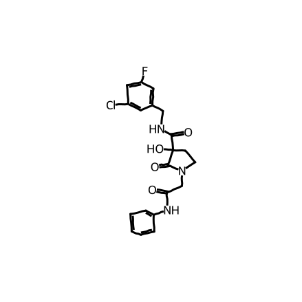 O=C(CN1CCC(O)(C(=O)NCc2cc(F)cc(Cl)c2)C1=O)Nc1ccccc1